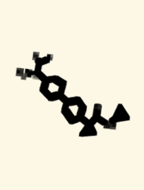 N[C@@H](c1ccc(-c2ccc(C3(C(=O)NC4CC4)CC3)cc2)cc1)C(F)F